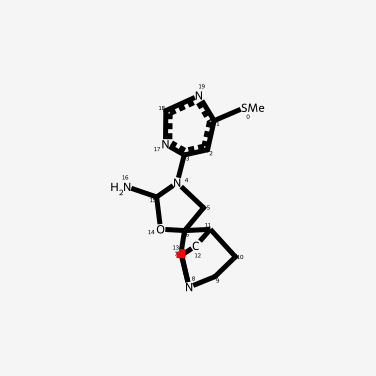 CSc1cc(N2CC3(CN4CCC3CC4)OC2N)ncn1